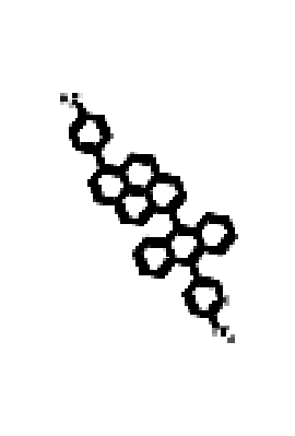 FC(F)(F)c1ccc(-c2ccc3ccc4c(-c5c6ccccc6c(-c6ccc(C(F)(F)F)nc6)c6ccccc56)ccc5ccc2c3c54)cc1